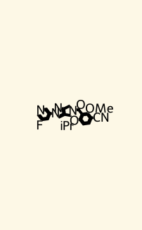 COc1c(C#N)ccc(OC(C)C)c1C(=O)N1Cc2cn(-c3cncc(F)c3)nc2C1